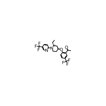 CC[C@H]1C[C@@H](Oc2ccc(C(F)(F)F)cc2C(C)=O)CCN1c1ccc(C(F)(F)F)cn1